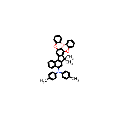 Cc1ccc(N(c2ccc(C)cc2)c2cc3c(c4ccccc24)-c2cc4c5c(c2C3(C)C)Oc2ccccc2B5c2ccccc2O4)cc1